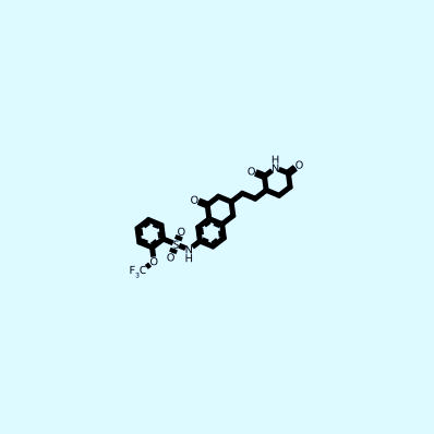 O=C1CCC(CCC2CC(=O)c3cc(NS(=O)(=O)c4ccccc4OC(F)(F)F)ccc3C2)C(=O)N1